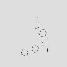 CCC#CCC(Cc1ccc(C(=O)NCCS(=O)(=O)O)cc1)C(=O)Nc1ccc(-c2ccc(Cl)cc2Cl)cc1